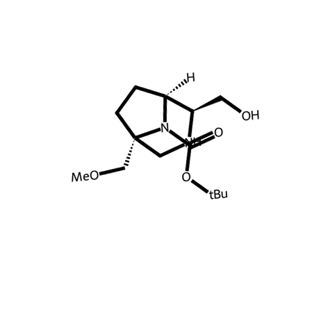 COC[C@@]12CC[C@@H]([C@@H](CO)NC1)N2C(=O)OC(C)(C)C